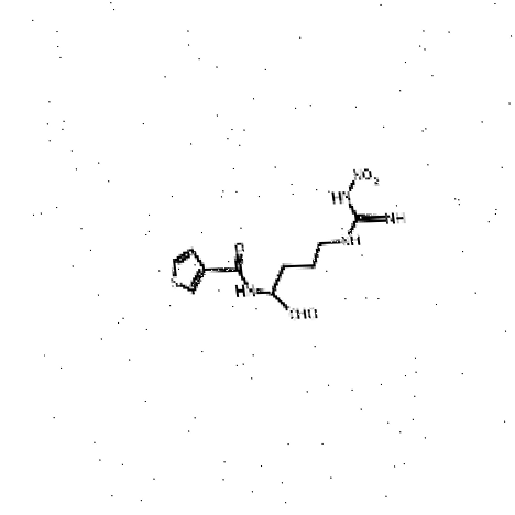 N=C(NCCCC(C=O)NC(=O)c1ccsc1)N[N+](=O)[O-]